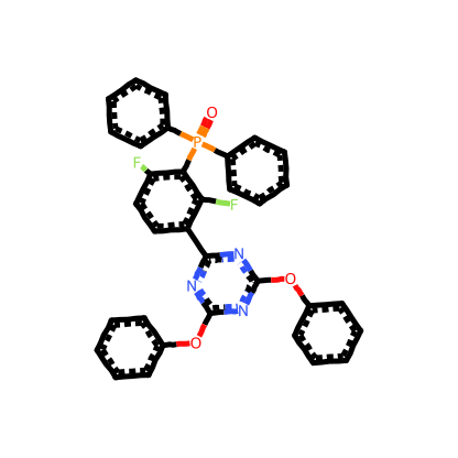 O=P(c1ccccc1)(c1ccccc1)c1c(F)ccc(-c2nc(Oc3ccccc3)nc(Oc3ccccc3)n2)c1F